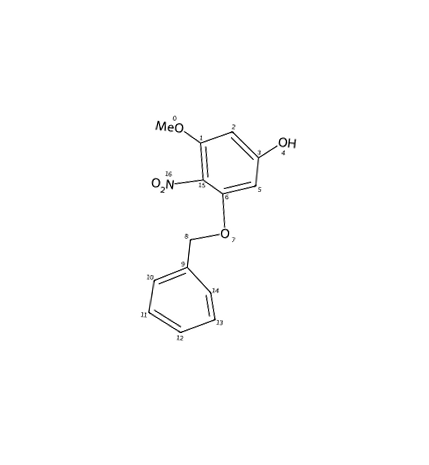 COc1cc(O)cc(OCc2ccccc2)c1[N+](=O)[O-]